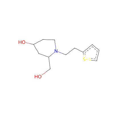 OCC1CC(O)CCN1CCc1cccs1